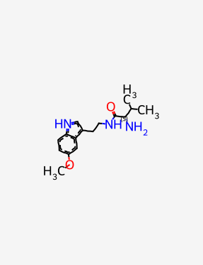 COc1ccc2[nH]cc(CCNC(=O)[C@@H](N)C(C)C)c2c1